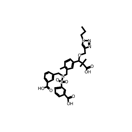 CCCn1cc(COC(c2ccc(C)c(CN(Cc3cccc(C(=O)O)c3)S(=O)(=O)c3cccc(C(=O)O)c3)c2)C(C)(C)C(=O)O)nn1